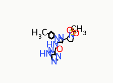 Cc1ccc(-n2nc(C3CCCN(S(C)(=O)=O)C3)cc2NC(=O)c2n[nH]c3cncnc23)cc1